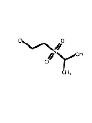 C[C](O)S(=O)(=O)CCCl